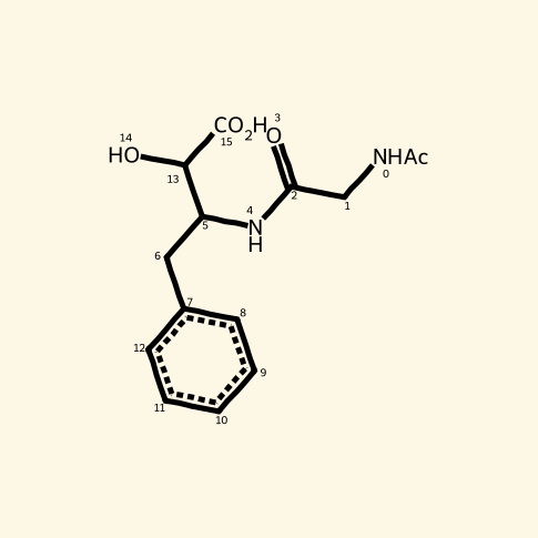 CC(=O)NCC(=O)NC(Cc1ccccc1)C(O)C(=O)O